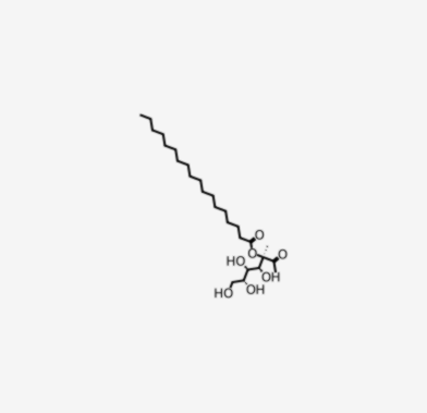 CCCCCCCCCCCCCCCCCC(=O)O[C@@](C)(C(C)=O)[C@@H](O)[C@H](O)[C@H](O)CO